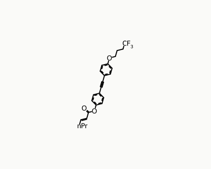 CCCC=CC(=O)Oc1ccc(C#Cc2ccc(OCCCC(F)(F)F)cc2)cc1